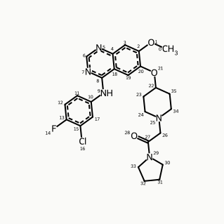 COc1cc2ncnc(Nc3ccc(F)c(Cl)c3)c2cc1OC1CCN(CC(=O)N2CCCC2)CC1